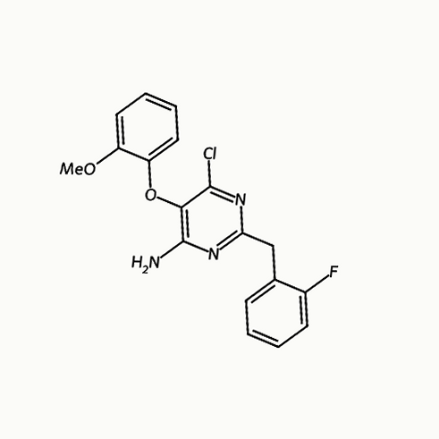 COc1ccccc1Oc1c(N)nc(Cc2ccccc2F)nc1Cl